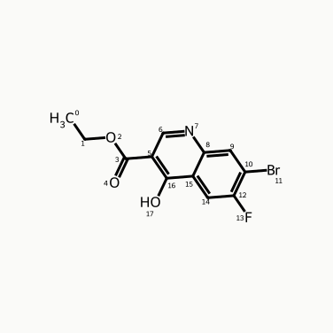 CCOC(=O)c1cnc2cc(Br)c(F)cc2c1O